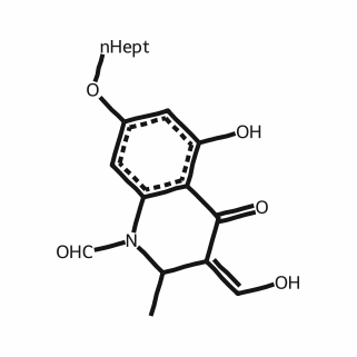 CCCCCCCOc1cc(O)c2c(c1)N(C=O)C(C)C(=CO)C2=O